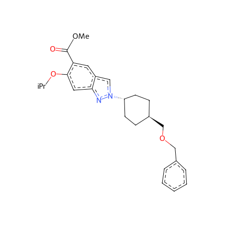 COC(=O)c1cc2cn([C@H]3CC[C@H](COCc4ccccc4)CC3)nc2cc1OC(C)C